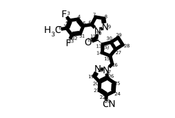 Cc1c(F)cc(C2CC=NN2C(=O)[C@H]2CC(Cn3ncc4cc(C#N)ccc43)C3CCC32)cc1F